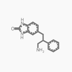 NCC(Cc1ccc2[nH]c(=O)[nH]c2c1)c1ccccc1